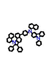 c1ccc(-c2c(-c3ccccc3)n(-c3cccc4ccccc34)c3c2ccc2c(-c4ccc(N(c5ccc6c(c5)c5ccccc5n6-c5ccccc5)c5cccc6ccccc56)cc4)cccc23)cc1